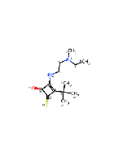 CCN(C)CCNc1c(C(C)(C)C)c(=S)c1=O